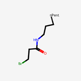 CCCCCCCCNC(=O)CCBr